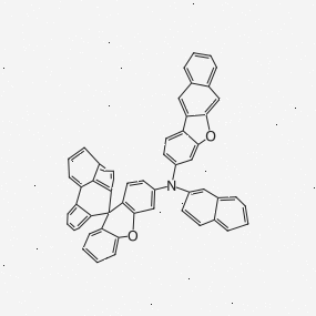 c1ccc2c(c1)Oc1cc(N(c3ccc4ccccc4c3)c3ccc4c(c3)oc3cc5ccccc5cc34)ccc1C21c2ccccc2-c2cccc3cccc1c23